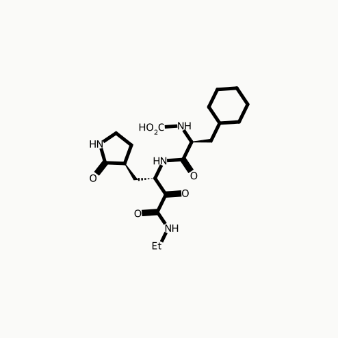 CCNC(=O)C(=O)[C@H](C[C@@H]1CCNC1=O)NC(=O)[C@H](CC1CCCCC1)NC(=O)O